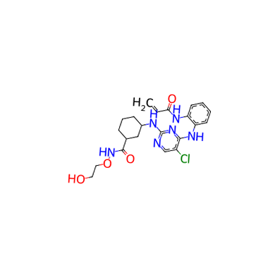 C=CC(=O)Nc1ccccc1Nc1nc(NC2CCCC(C(=O)NOCCO)C2)ncc1Cl